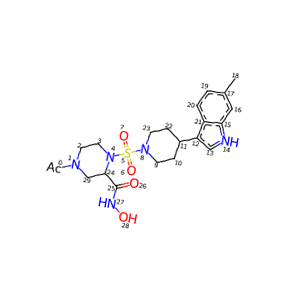 CC(=O)N1CCN(S(=O)(=O)N2CCC(c3c[nH]c4cc(C)ccc34)CC2)C(C(=O)NO)C1